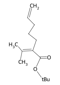 C=CCCCC(C(=O)OC(C)(C)C)=C(C)C